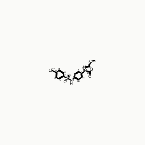 COc1nn(-c2ccc(NS(=O)(=O)c3ccc(Cl)cc3)cc2)c(=O)o1